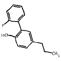 CCCc1ccc(O)c(-c2ccccc2F)c1